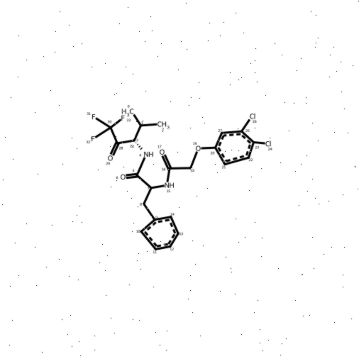 CC(C)[C@H](NC(=O)C(Cc1ccccc1)NC(=O)COc1ccc(Cl)c(Cl)c1)C(=O)C(F)(F)F